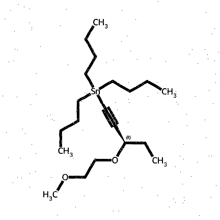 CCC[CH2][Sn]([C]#C[C@@H](CC)OCCOC)([CH2]CCC)[CH2]CCC